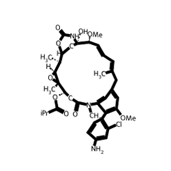 COc1cc2cc(c1-c1ccc(N)cc1Cl)N(C)C(=O)C[C@H](OC(=O)C(C)C)[C@]1(C)O[C@H]1[C@H](C)[C@@H]1C[C@@](O)(NC(=O)O1)[C@H](OC)/C=C/C=C(\C)C2